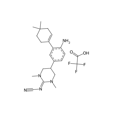 CN1CC(c2ccc(N)c(C3=CCC(C)(C)CC3)c2)CN(C)C1=NC#N.O=C(O)C(F)(F)F